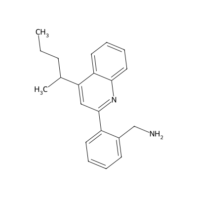 CCCC(C)c1cc(-c2ccccc2CN)nc2ccccc12